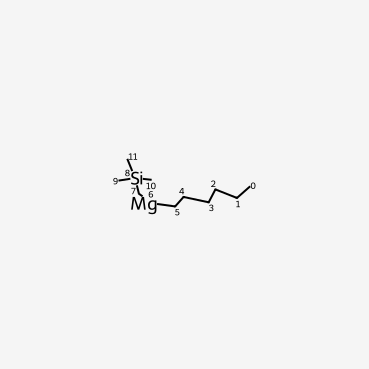 CCCCC[CH2][Mg][CH2][Si](C)(C)C